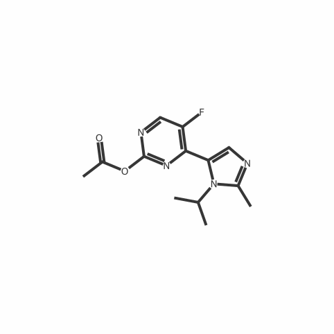 CC(=O)Oc1ncc(F)c(-c2cnc(C)n2C(C)C)n1